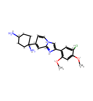 COc1cc(OC)c(-c2cn3ccc(C4(N)CCC(N)CC4)cc3n2)cc1Cl